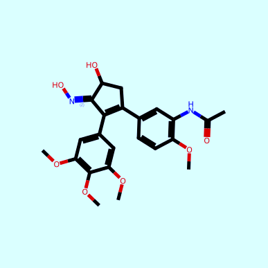 COc1ccc(C2=C(c3cc(OC)c(OC)c(OC)c3)/C(=N/O)C(O)C2)cc1NC(C)=O